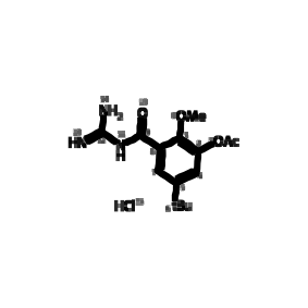 COc1c(OC(C)=O)cc(C(C)(C)C)cc1C(=O)NC(=N)N.Cl